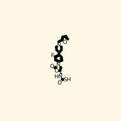 O=C(S)NC[C@H]1CN(c2ccc(C3CCN(Cc4ccco4)CC3)c(F)c2)C(=O)O1